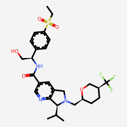 CCS(=O)(=O)c1ccc([C@H](CO)NC(=O)c2cnc3c(c2)CN(C[C@@H]2CC[C@H](C(F)(F)F)CO2)[C@H]3C(C)C)cc1